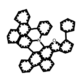 c1ccc(-c2cccc3c2oc2c(N(c4ccccc4-c4cc5ccccc5c5ccccc45)c4ccccc4-c4cc5ccccc5c5ccccc45)cccc23)cc1